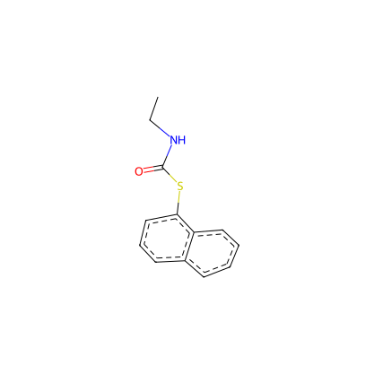 CCNC(=O)Sc1cccc2ccccc12